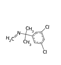 C=NC(C)(C)c1cc(Cl)cc(Cl)c1